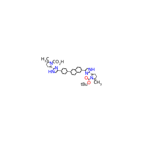 C[C@H]1CC[C@@H](c2nc(-c3ccc(-c4ccc5cc(-c6c[nH]c([C@@H]7CC[C@H](C)N7C(=O)OC(C)(C)C)n6)ccc5c4)cc3)c[nH]2)N1C(=O)O